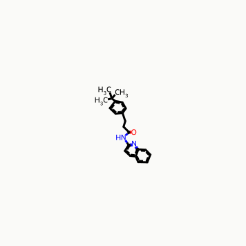 CC(C)(C)c1ccc(CCC(=O)Nc2ccc3ccccc3n2)cc1